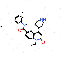 CCn1c(=O)cc(C2CCNCC2)c2cc(C(=O)N(C)c3ccccc3)ccc21